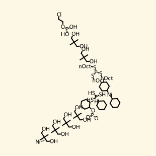 C1CC[CH]([Ni][CH]2CCCCC2)CC1.CC(C)(CO)CO.CC(C)(CO)CO.CC(C)(CO)CO.CC(C)(CO)CO.CC(C)(CO)CO.CC(C)(CO)CO.CCCCCCCCSP(SCCCCCCCC)SCCCCCCCC.OP(O)OCCCl.S[PH](S)(S)C1CCCCC1.[Ni+2].[O-]P([O-])OC1CCCCC1